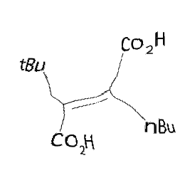 CCCC/C(C(=O)O)=C(\C(=O)O)C(C)(C)C